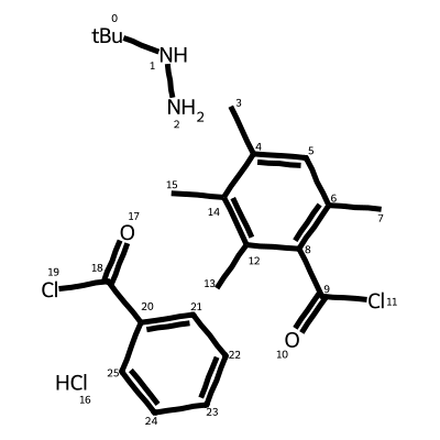 CC(C)(C)NN.Cc1cc(C)c(C(=O)Cl)c(C)c1C.Cl.O=C(Cl)c1ccccc1